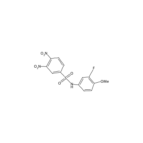 COc1ccc(NS(=O)(=O)c2ccc([N+](=O)[O-])c([N+](=O)[O-])c2)cc1F